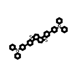 c1ccc(N(c2ccccc2)c2ccc(-c3ccc4c(c3)sc3ccc5c(ccc6sc7cc(-c8ccc(N(c9ccccc9)c9ccccc9)cc8)ccc7c65)c34)cc2)cc1